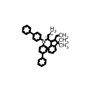 C=CC1=C(/C(=C\C)N(c2ccc(-c3ccccc3)cc2)c2ccc(-c3ccccc3)cc2)c2ccccc2C1(C)C